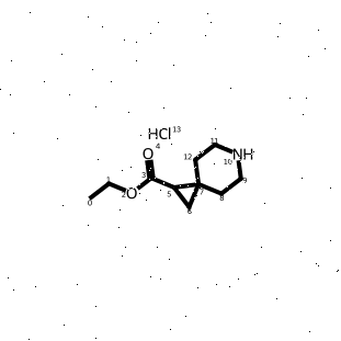 CCOC(=O)C1CC12CCNCC2.Cl